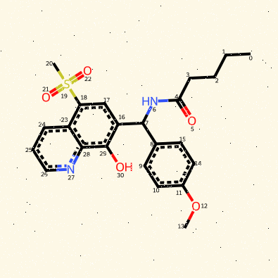 CCCCC(=O)NC(c1ccc(OC)cc1)c1cc(S(C)(=O)=O)c2cccnc2c1O